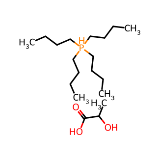 CC(O)C(=O)O.CCCC[PH](CCCC)(CCCC)CCCC